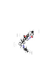 CCc1cc(Br)ccc1-c1c(/C=C/C(=O)N2CCN(C(C)=O)CC2)ccc(Sc2ccc(/C=C/C(=O)N3CCN(C(C)=O)CC3)c(-c3ccc(Br)cc3CC)c2[N+](=O)[O-])c1[N+](=O)[O-]